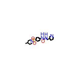 CC1CCN(S(=O)(=O)c2ccc(NC(=O)NCc3cccnc3)cc2)CC1